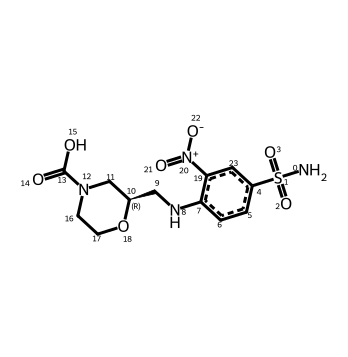 NS(=O)(=O)c1ccc(NC[C@@H]2CN(C(=O)O)CCO2)c([N+](=O)[O-])c1